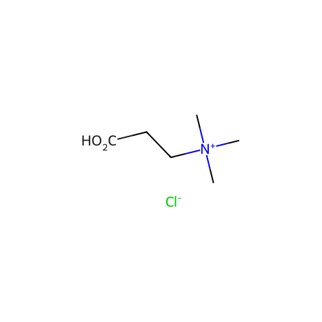 C[N+](C)(C)CCC(=O)O.[Cl-]